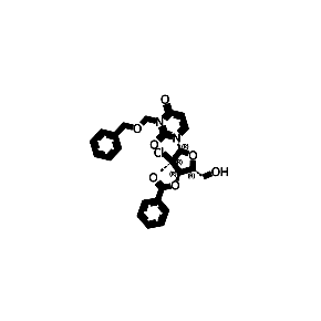 C[C@@]1(Cl)[C@H](OC(=O)c2ccccc2)[C@@H](CO)O[C@H]1n1ccc(=O)n(COCc2ccccc2)c1=O